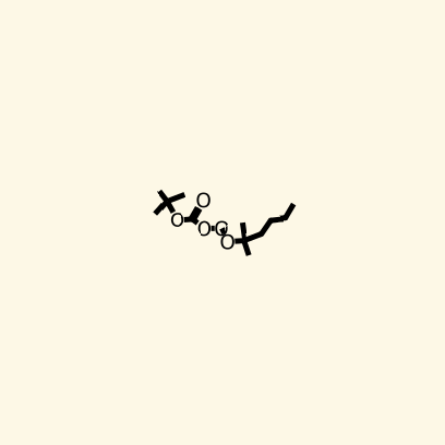 CCCCC(C)(C)OOOC(=O)OC(C)(C)C